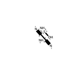 N.N.N#CC#N.O=S(=O)(O)O